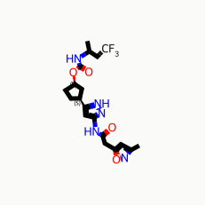 Cc1cc(CC(=O)Nc2cc([C@H]3CC[C@@H](OC(=O)NC(C)CC(F)(F)F)C3)[nH]n2)on1